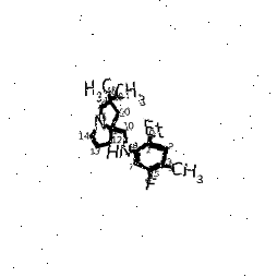 CCc1cc(C)c(F)cc1NCC12CCCN1CC(C)(C)C2